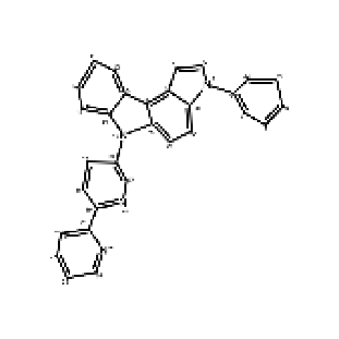 c1ccc(-n2ccc3c4c5ccccc5n(-c5ccc(-c6ccccn6)nc5)c4ccc32)cc1